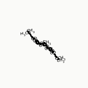 Cc1cc(OC(=O)c2ccc(OC(=O)OCCCCOC(C)C)cc2)ccc1OC(=O)c1ccc(OC(=O)OCCCCOC(C)C)cc1